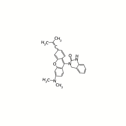 CC(C)=C=c1ccc2c(c1)Oc1cc(N(C)C)ccc1C=2N1Cc2ccccc2NC1=O